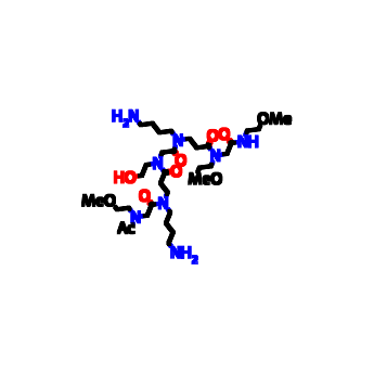 COCCNC(=O)CN(CCOC)C(=O)CCN(CCCCN)C(=O)CN(CCO)C(=O)CCN(CCCCN)C(=O)CN(CCOC)C(C)=O